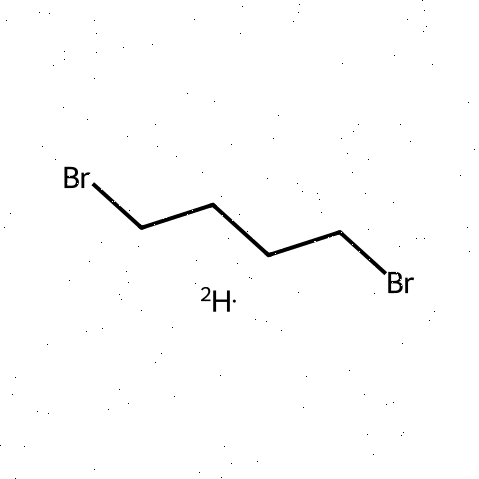 BrCCCCBr.[2H]